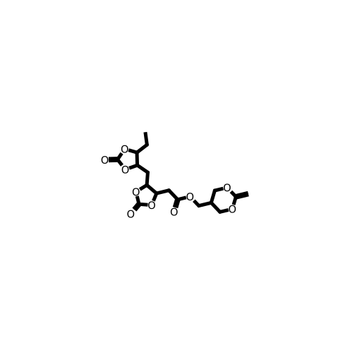 C=C1OCC(COC(=O)CC2OC(=O)OC2CC2OC(=O)OC2CC)CO1